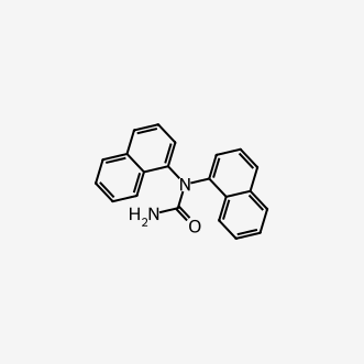 NC(=O)N(c1cccc2ccccc12)c1cccc2ccccc12